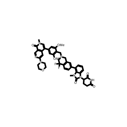 COc1cc(-c2cn(C)c(=O)c3cnc(N4CCOCC4)cc23)cc(OC)c1CN1Cc2cc(-c3cccc4c3n(C)c(=O)n4C3CCC(=O)NC3=O)ccc2C(F)(F)C1